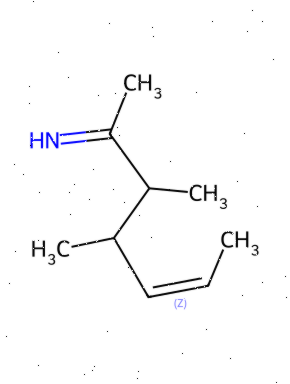 C/C=C\C(C)C(C)C(C)=N